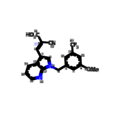 COc1cc(Cn2cc(/C=C(\C#N)C(=O)O)c3cccnc32)cc(C(F)(F)F)c1